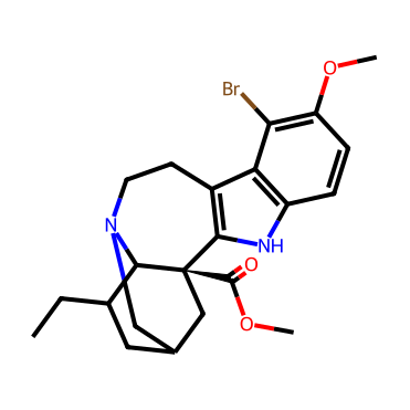 CCC1CC2CN3CCc4c([nH]c5ccc(OC)c(Br)c45)[C@](C(=O)OC)(C2)C13